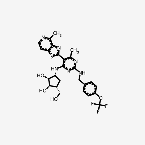 Cc1nc(NCc2ccc(OC(F)(F)F)cc2)nc(N[C@@H]2C[C@H](CO)[C@@H](O)[C@H]2O)c1-c1nc2c(C)nccc2s1